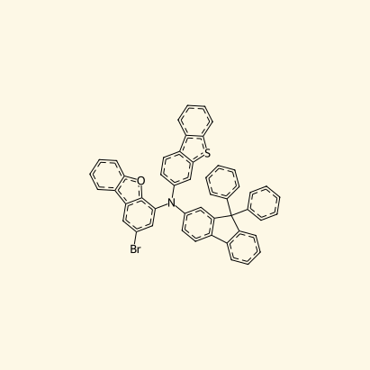 Brc1cc(N(c2ccc3c(c2)C(c2ccccc2)(c2ccccc2)c2ccccc2-3)c2ccc3c(c2)sc2ccccc23)c2oc3ccccc3c2c1